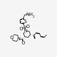 C=C(/C=C\C=C/C)[C@@H]1C[C@H](C(=O)N2CCOCC2)CN(S(=O)(=O)c2ccc(CN)s2)C1